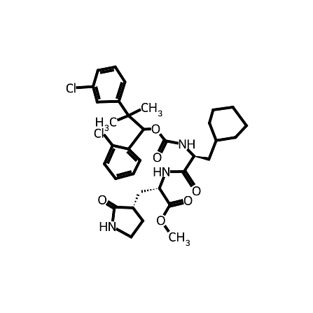 COC(=O)[C@H](C[C@@H]1CCNC1=O)NC(=O)[C@H](CC1CCCCC1)NC(=O)OC(c1ccccc1Cl)C(C)(C)c1cccc(Cl)c1